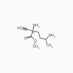 C#C[C@](N)(CCC(C)N)C(=O)OC